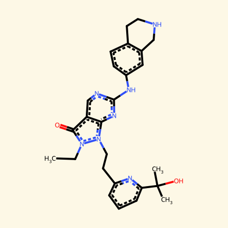 CCn1c(=O)c2cnc(Nc3ccc4c(c3)CNCC4)nc2n1CCc1cccc(C(C)(C)O)n1